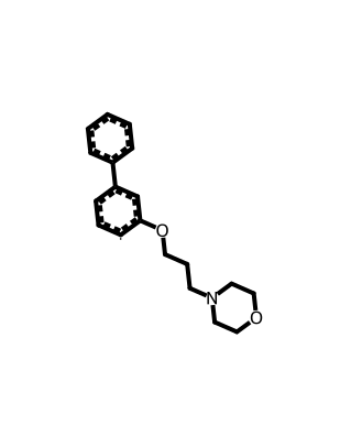 [c]1ccc(-c2ccccc2)cc1OCCCN1CCOCC1